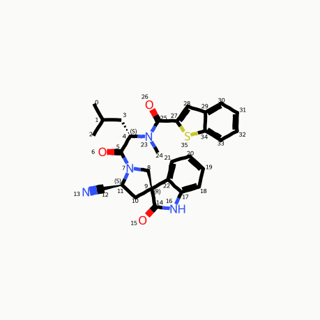 CC(C)C[C@@H](C(=O)N1C[C@]2(C[C@H]1C#N)C(=O)Nc1ccccc12)N(C)C(=O)c1cc2ccccc2s1